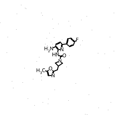 Cc1cnc(CC2CN(C(=O)Nc3nc(-c4ccc(F)cc4)ccc3N)C2)o1